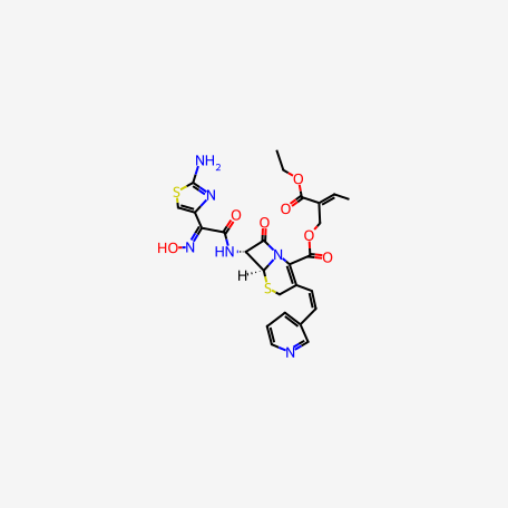 C/C=C(\COC(=O)C1=C(/C=C\c2cccnc2)CS[C@H]2[C@H](NC(=O)C(=NO)c3csc(N)n3)C(=O)N12)C(=O)OCC